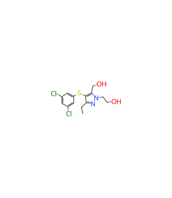 CCc1nn(CCO)c(CO)c1Sc1cc(Cl)cc(Cl)c1